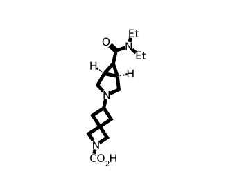 CCN(CC)C(=O)C1[C@H]2CN(C3CC4(C3)CN(C(=O)O)C4)C[C@@H]12